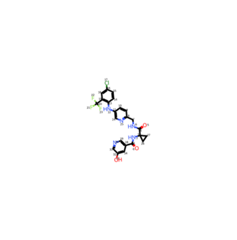 O=C(NC1(C(=O)NCc2ccc(Nc3ccc(Cl)cc3C(F)(F)F)cn2)CC1)c1cncc(O)c1